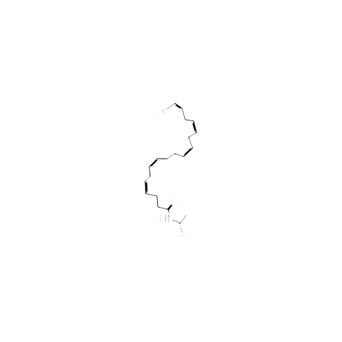 CC/C=C\C/C=C\C/C=C\CC/C=C\C/C=C\CCC(=O)N[C@@H](C)C(C)=O